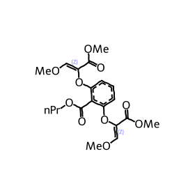 CCCOC(=O)c1c(O/C(=C\OC)C(=O)OC)cccc1O/C(=C\OC)C(=O)OC